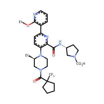 CCOc1ncccc1-c1ccc(N2CCN(C(=O)C3(C(F)(F)F)CCCC3)C[C@H]2CC)c(C(=O)N[C@@H]2CCN(C(=O)O)C2)n1